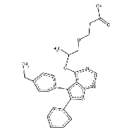 CCc1ccc(-c2c(-c3ccccc3)oc3ncnc(OC(C)COCCC(=O)O)c23)cc1